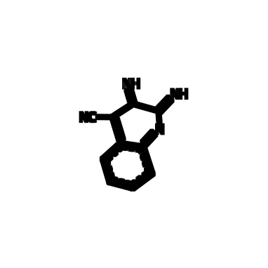 N#CC1=c2ccccc2=NC(=N)C1=N